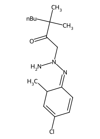 CCCCC(C)(C)C(=O)CN(N)/N=C1/C=CC(Cl)=CC1C